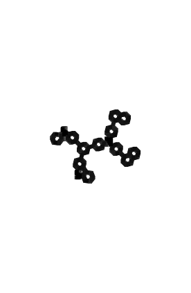 c1ccc2c(-c3ccc(N(c4ccc(-c5cc(-c6ccc7sc8ccccc8c7c6)cc(-c6ccc7sc8ccccc8c7c6)c5)cc4)c4ccc(-c5cccc6ccccc56)cc4)cc3)cccc2c1